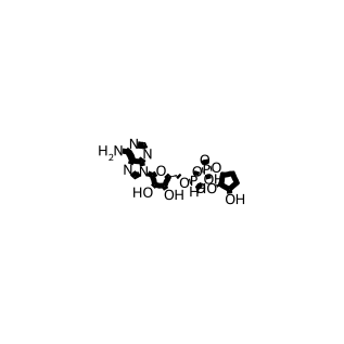 Nc1ncnc2c1ncn2C1O[C@H](CO[PH](=O)OP(=O)(O)O[C@H]2CCC(O)[C@H]2O)C(O)C1O